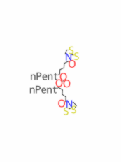 CCCCCC(CCCC(=O)N1CCSC1=S)OC(=O)OC(CCCCC)CCCC(=O)N1CCSC1=S